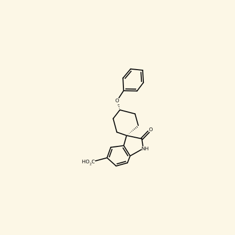 O=C(O)c1ccc2c(c1)[C@]1(CC[C@@H](Oc3ccccc3)CC1)C(=O)N2